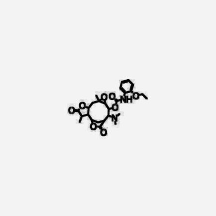 CCOc1ccccc1NC(=O)OC1C(N(C)C)C2CC(OC2=O)C2C(CC3(C)OC13)OC(=O)C2C